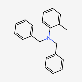 Cc1ccccc1N(Cc1ccccc1)Cc1ccccc1